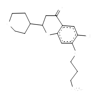 COCCCOc1cc2c(cc1Cl)C(=O)CC(C1CCOCC1)O2